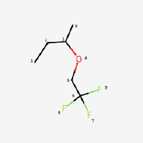 [CH2]C(CC)OCC(F)(F)F